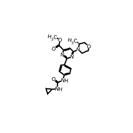 COC(=O)c1cc(N2CCOC[C@@H]2C)nc(-c2ccc(NC(=O)NC3CC3)cc2)n1